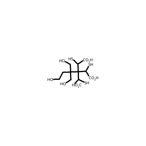 O=C(O)C(S)C(C(S)C(=O)O)(C(S)C(=O)O)C(CO)(CO)CCO